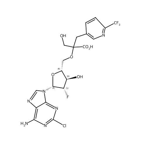 Nc1nc(Cl)nc2c1ncn2[C@@H]1O[C@H](COC(CO)(Cc2ccc(C(F)(F)F)nc2)C(=O)O)[C@@H](O)[C@@H]1F